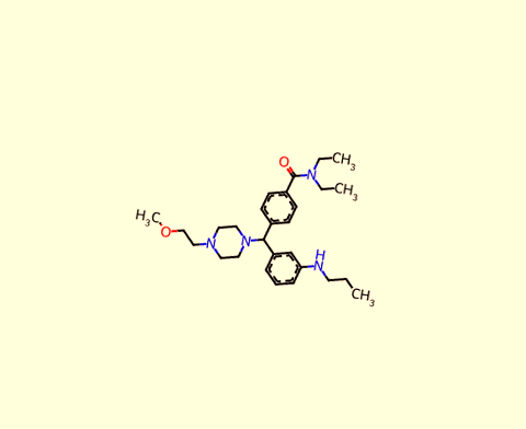 CCCNc1cccc(C(c2ccc(C(=O)N(CC)CC)cc2)N2CCN(CCOC)CC2)c1